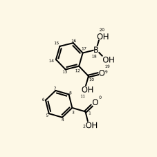 O=C(O)c1ccccc1.O=C(O)c1ccccc1B(O)O